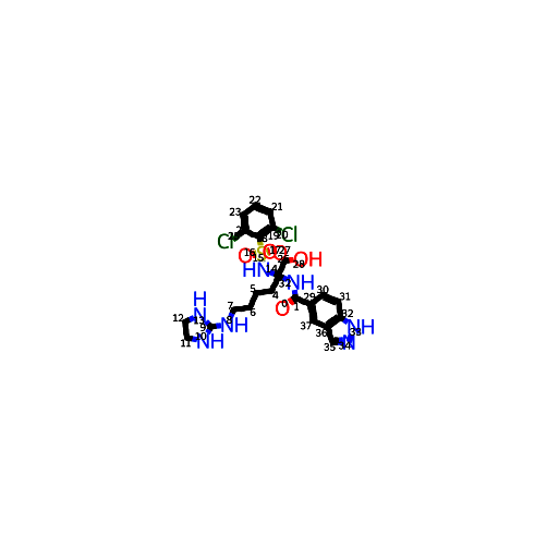 O=C(NC(CCCCNC1NCCN1)(NS(=O)(=O)c1c(Cl)cccc1Cl)C(=O)O)c1ccc2[nH]ncc2c1